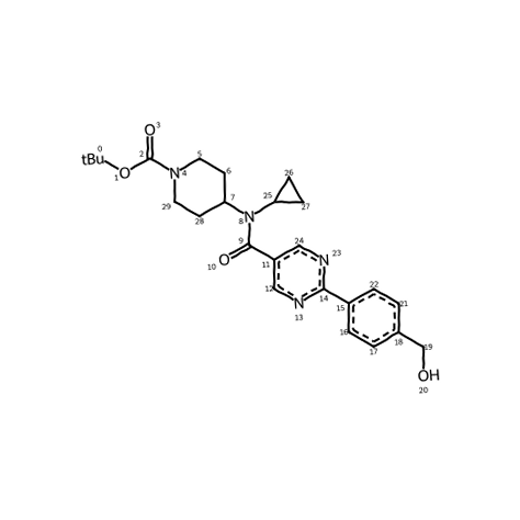 CC(C)(C)OC(=O)N1CCC(N(C(=O)c2cnc(-c3ccc(CO)cc3)nc2)C2CC2)CC1